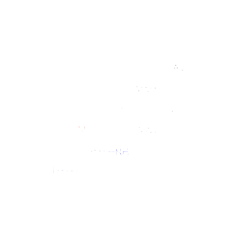 CC(=O)c1ccc(NC(=O)CI)cc1